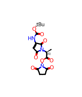 C[C@@H](C(=O)ON1C(=O)CCC1=O)N1C(=O)C=C(NC(=O)OC(C)(C)C)C1=O